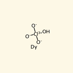 [Dy].[O-][Cl+3]([O-])([O-])O